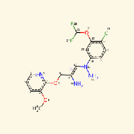 COc1cccnc1OC/C(N)=C/N(N)c1ccc(Cl)c(OC(F)F)c1